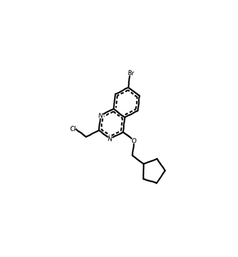 ClCc1nc(OCC2CCCC2)c2ccc(Br)cc2n1